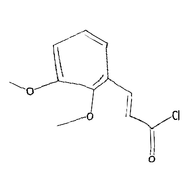 COc1cccc(C=CC(=O)Cl)c1OC